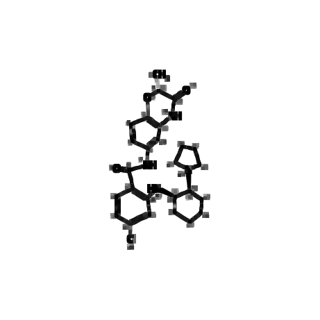 C[C@H]1Oc2ccc(NC(=O)c3ccc(Cl)cc3N[C@@H]3CCCC[C@@H]3N3CCCC3)cc2NC1=O